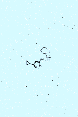 CC(NC(=O)c1cc(C2CC2)cnn1)C1CCCCN1C